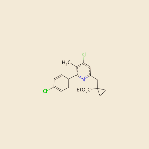 CCOC(=O)C1(Cc2cc(Cl)c(C)c(C3C=CC(Cl)=CC3)n2)CC1